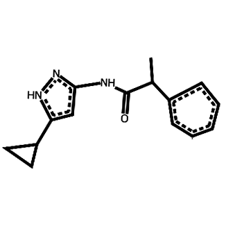 CC(C(=O)Nc1cc(C2CC2)[nH]n1)c1c[c]ccc1